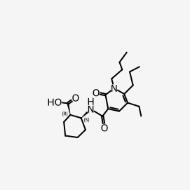 CCCCn1c(CCC)c(CC)cc(C(=O)N[C@H]2CCCC[C@H]2C(=O)O)c1=O